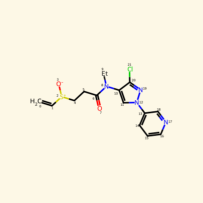 C=C[S+]([O-])CCC(=O)N(CC)c1cn(-c2cccnc2)nc1Cl